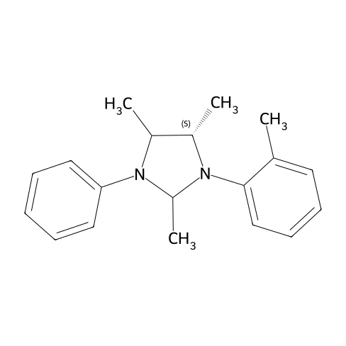 Cc1ccccc1N1C(C)N(c2ccccc2)C(C)[C@@H]1C